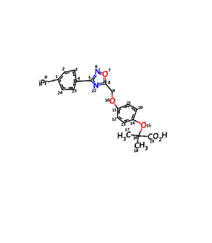 CC(C)c1ccc(-c2noc(COc3ccc(OC(C)(C)C(=O)O)cc3)n2)cc1